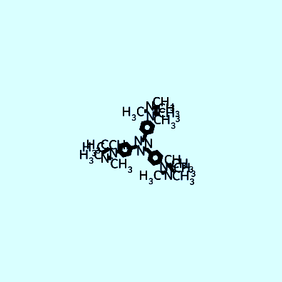 CC1=NC(C)(C)C(C)(C)N1c1ccc(-c2nc(-c3ccc(N4C(C)=NC(C)(C)C4(C)C)cc3)nc(-c3ccc(N4C(C)=NC(C)(C)C4(C)C)cc3)n2)cc1